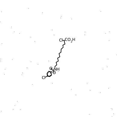 O=C(O)C(Cl)CCCCCCCCCCCCNS(=O)(=O)c1ccc(Cl)cc1